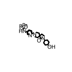 CCCOC(=O)Nc1ccc(N2CCC3(CC2)CCN([C@H]2CC[C@@H](O)CC2)C3=O)nc1